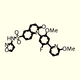 COc1cccc(-c2cc(OC)c(-n3c(=O)ccc4cc(S(=O)(=O)Nc5ccon5)ccc43)cc2F)n1